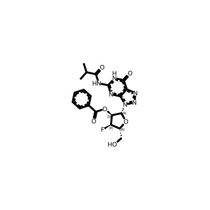 CC(C)C(=O)Nc1nc2c(nnn2[C@@H]2O[C@H](CO)[C@@H](F)[C@H]2OC(=O)c2ccccc2)c(=O)[nH]1